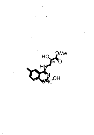 COC(=O)[C@H](O)CNc1nccc2ccc(C)cc12.O=CO